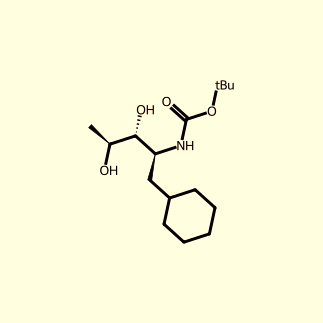 C[C@H](O)[C@H](O)[C@H](CC1CCCCC1)NC(=O)OC(C)(C)C